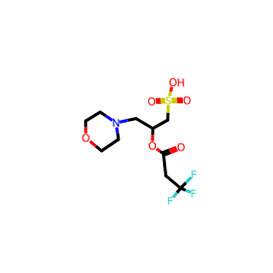 O=C(CC(F)(F)F)OC(CN1CCOCC1)CS(=O)(=O)O